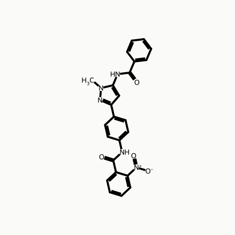 Cn1nc(-c2ccc(NC(=O)c3ccccc3[N+](=O)[O-])cc2)cc1NC(=O)c1ccccc1